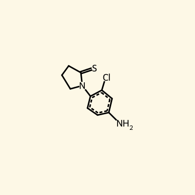 Nc1ccc(N2CCCC2=S)c(Cl)c1